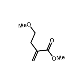 C=C(CCOC)C(=O)OC